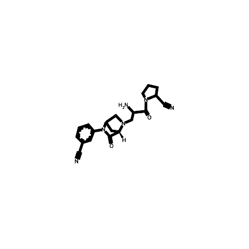 N#Cc1cccc(N2C(=O)[C@@H]3CC2CN3CC(N)C(=O)N2CCCC2C#N)c1